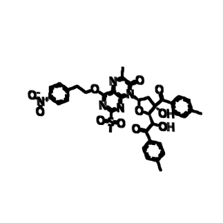 Cc1ccc(C(=O)C(O)[C@H]2O[C@@H](n3c(=O)c(C)nc4c(OCCc5ccc([N+](=O)[O-])cc5)nc(S(C)(=O)=O)nc43)C[C@@]2(O)C(=O)c2ccc(C)cc2)cc1